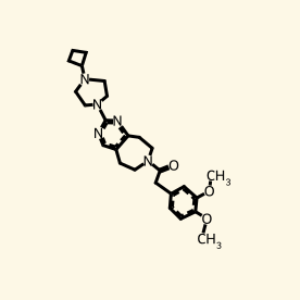 COc1ccc(CC(=O)N2CCc3cnc(N4CCN(C5CCC5)CC4)nc3CC2)cc1OC